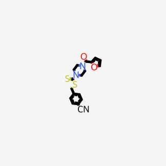 N#Cc1ccc(CSC(=S)N2CCN(C(=O)c3ccco3)CC2)cc1